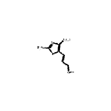 CCOC(=O)c1nc(C(F)(F)F)sc1/C=C/COC